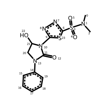 CN(C)S(=O)(=O)c1nnc(N2C(=O)N(c3ccccc3)CC2O)s1